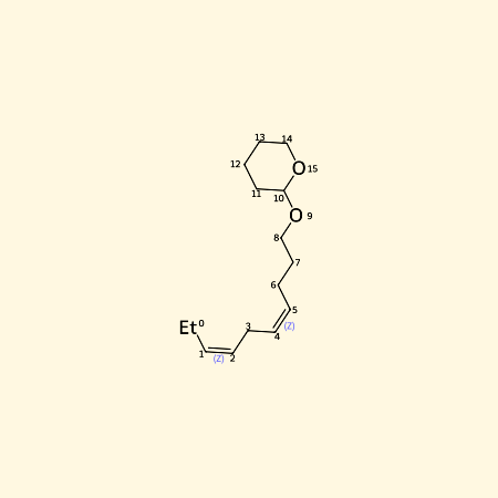 CC/C=C\C/C=C\CCCOC1CCCCO1